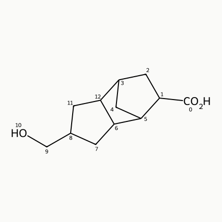 O=C(O)C1CC2CC1C1CC(CO)CC21